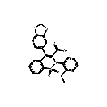 CCc1ccccc1N1C(C(=O)O)=C(c2ccc3c(c2)OCO3)c2ccccc2S1(=O)=O